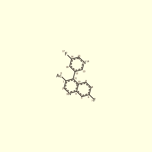 CC(=O)c1cnc2cc(F)ccc2c1-c1cncc(F)c1